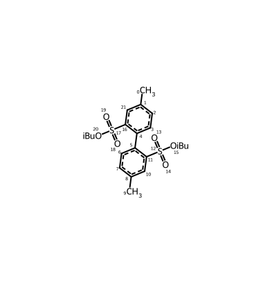 Cc1ccc(-c2ccc(C)cc2S(=O)(=O)OCC(C)C)c(S(=O)(=O)OCC(C)C)c1